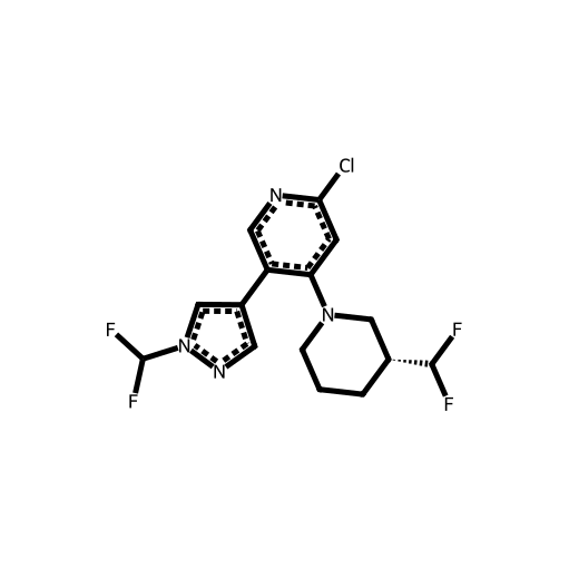 FC(F)[C@@H]1CCCN(c2cc(Cl)ncc2-c2cnn(C(F)F)c2)C1